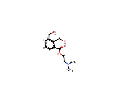 CN(C)CCOC(=O)c1cccc(CBr)c1CBr